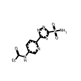 CCC(=O)Nc1ccc(-c2nnc(S(N)(=O)=O)s2)nc1